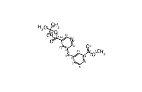 COC(=O)c1cccc(Sc2cncc(C(=O)OC(C)(C)C)c2)c1